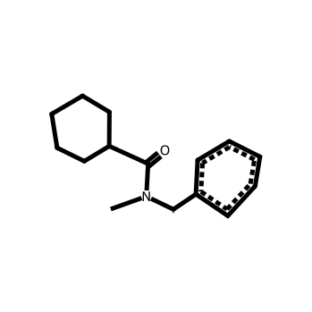 CN([CH]c1ccccc1)C(=O)C1CCCCC1